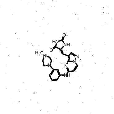 CN1CCN(c2cccc(Nc3ccn4ncc(/C=C5\NC(=O)NC5=O)c4n3)c2)CC1